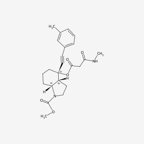 CNC(=O)CC(=O)O[C@@]1(C#Cc2cccc(C)c2)CCC[C@@H]2[C@H]1CCN2C(=O)OC